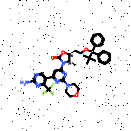 C[C@H]1[C@@H](CCO[Si](c2ccccc2)(c2ccccc2)C(C)(C)C)OC(=O)N1c1cc(-c2cnc(N)nc2C(F)(F)F)nc(N2CCOCC2)n1